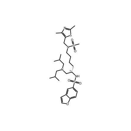 Cc1nc(C)c(CN(CCCC[C@@H](CN(CC(C)C)CC(C)C)NS(=O)(=O)c2ccc3occc3c2)S(C)(=O)=O)s1